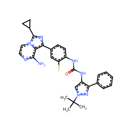 CC(C)(C)n1cc(NC(=O)Nc2ccc(-c3nc(C4CC4)n4ccnc(N)c34)cc2F)c(-c2ccccc2)n1